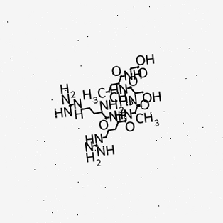 CC(C)CC(NC(=O)C(CO)NC(=O)C(C)NC(=O)C(CCCNC(=N)N)NC(=O)C(N)CCCNC(=N)N)C(=O)NCC(=O)O